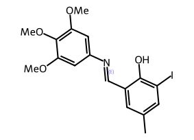 COc1cc(/N=C/c2cc(C)cc(I)c2O)cc(OC)c1OC